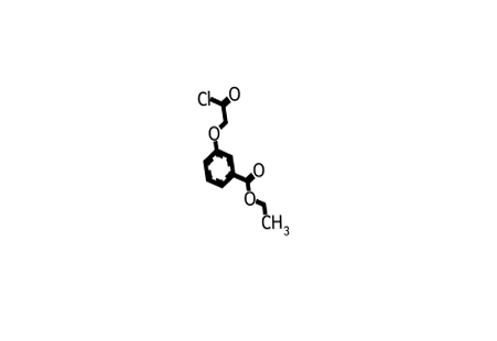 CCOC(=O)c1cccc(OCC(=O)Cl)c1